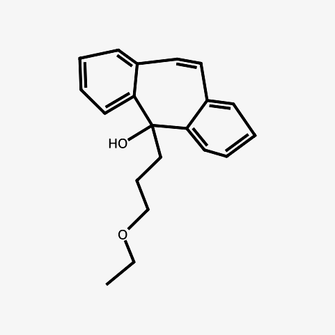 CCOCCCC1(O)c2ccccc2C=Cc2ccccc21